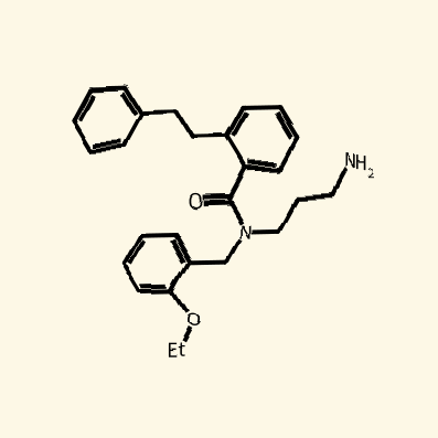 CCOc1ccccc1CN(CCCN)C(=O)c1ccccc1CCc1ccccc1